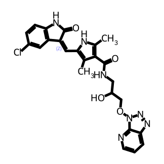 Cc1[nH]c(/C=C2\C(=O)Nc3ccc(Cl)cc32)c(C)c1C(=O)NCC(O)COn1nnc2cccnc21